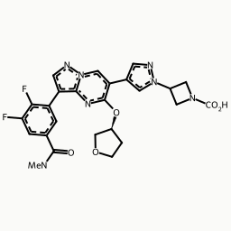 CNC(=O)c1cc(F)c(F)c(-c2cnn3cc(-c4cnn(C5CN(C(=O)O)C5)c4)c(O[C@H]4CCOC4)nc23)c1